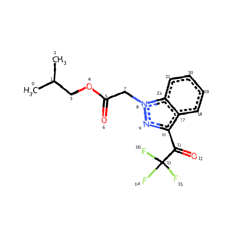 CC(C)COC(=O)Cn1nc(C(=O)C(F)(F)F)c2ccccc21